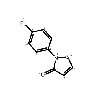 CCc1ccc(-n2sccc2=O)cc1